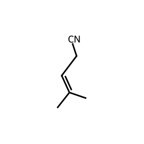 CC(C)=CCC#N